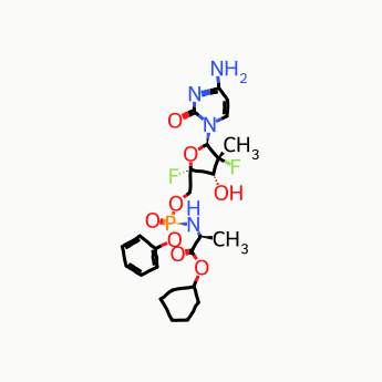 C[C@H](N[P@@](=O)(OC[C@@]1(F)O[C@@H](n2ccc(N)nc2=O)[C@](C)(F)[C@@H]1O)Oc1ccccc1)C(=O)OC1CCCCC1